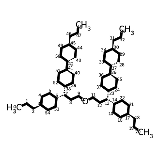 CCC[C@H]1CC[C@H](C(CCOCCC([C@H]2CC[C@H](CCC)CC2)[C@H]2CC[C@H]([C@H]3CC[C@H](CCC)CC3)CC2)[C@H]2CC[C@H]([C@H]3CC[C@H](CCC)CC3)CC2)CC1